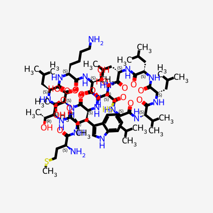 CSCC[C@H](N)C(=O)N[C@@H](Cc1c[nH]c2ccccc12)C(=O)N[C@H](C(=O)N[C@@H](CC(C)C)C(=O)N[C@@H](CCCCN)C(=O)N[C@@H](CO)C(=O)N[C@@H](CO)C(=O)N[C@@H](CC(C)C)C(=O)N[C@H](C(=O)N[C@@H](CC(C)C)C(=O)N[C@@H](CC(C)C)C(=O)N[C@@H](CC(C)C)C(=O)N[C@@H](CS)C(=O)N[C@@H](CC(C)C)C(=O)N[C@H](C(=O)O)[C@@H](C)O)C(C)C)[C@@H](C)O